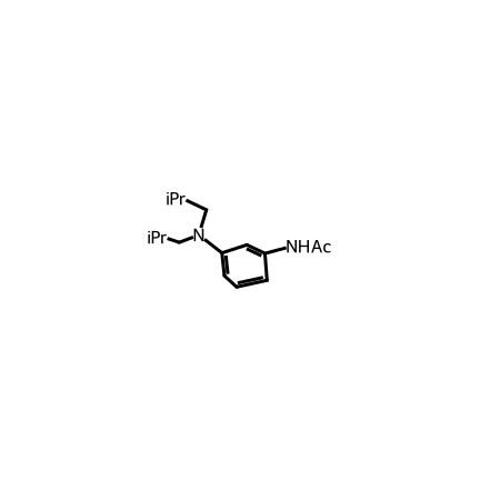 CC(=O)Nc1cccc(N(CC(C)C)CC(C)C)c1